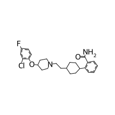 NC(=O)c1ccccc1C1CCC(CCN2CCC(Oc3ccc(F)cc3Cl)CC2)CC1